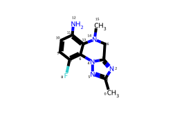 Cc1nc2n(n1)-c1c(F)ccc(N)c1N(C)C2